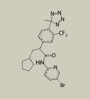 CC1(c2ccc(C(CC3CCCC3)C(=O)Nc3ccc(Br)cn3)cc2C(F)(F)F)N=NN=N1